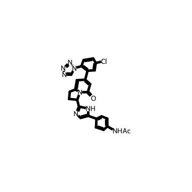 CC(=O)Nc1ccc(-c2cnc(C3CCc4cc(-c5cc(Cl)ccc5-n5cnnn5)cc(=O)n43)[nH]2)cc1